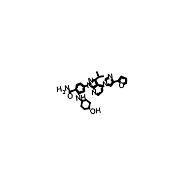 CC(C)c1nn(-c2ccc(C(N)=O)c(NC3CCC(O)CC3)c2)c2nccc(-n3cnc(-c4ccco4)c3)c12